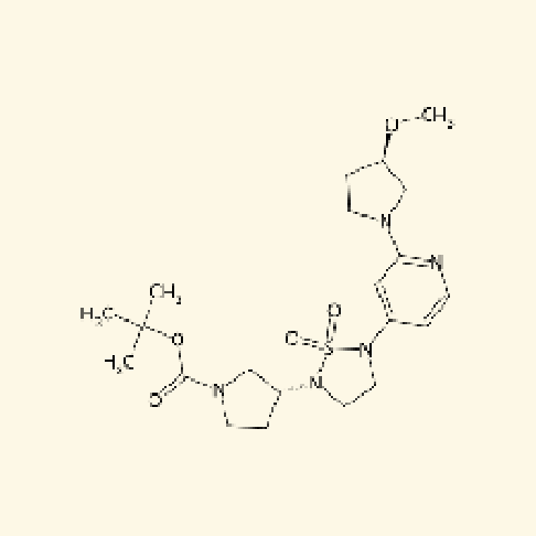 CO[C@@H]1CCN(c2cc(N3CCN([C@@H]4CCN(C(=O)OC(C)(C)C)C4)S3(=O)=O)ccn2)C1